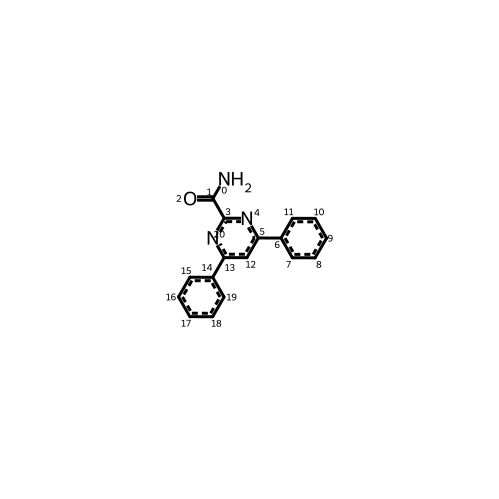 NC(=O)c1nc(-c2ccccc2)cc(-c2ccccc2)n1